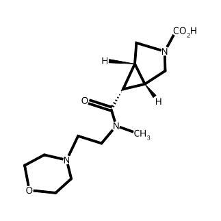 CN(CCN1CCOCC1)C(=O)[C@@H]1[C@@H]2CN(C(=O)O)C[C@@H]21